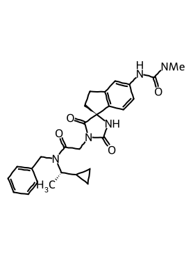 CNC(=O)Nc1ccc2c(c1)CC[C@]21NC(=O)N(CC(=O)N(Cc2ccccc2)[C@@H](C)C2CC2)C1=O